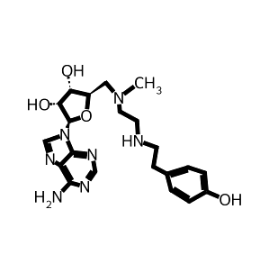 CN(CCNCCc1ccc(O)cc1)C[C@H]1O[C@@H](n2cnc3c(N)ncnc32)[C@H](O)[C@@H]1O